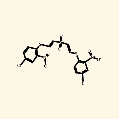 O=[N+]([O-])c1cc(Cl)ccc1SC=CS(=O)(=O)C=CSc1ccc(Cl)cc1[N+](=O)[O-]